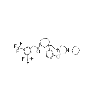 O=C(Cc1cc(C(F)(F)F)cc(C(F)(F)F)c1)N1CCCC[C@](CCN2CCN(C3CCCCC3)CC2)(c2cccc(Cl)c2)C1